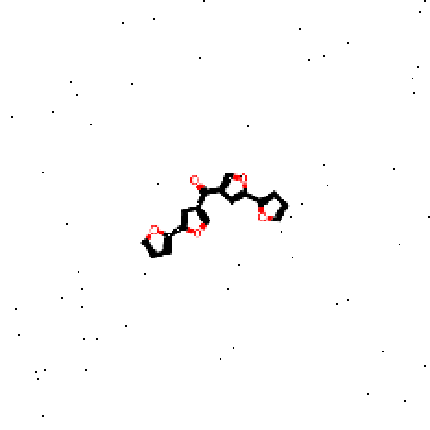 O=C(c1coc(-c2ccco2)c1)c1coc(-c2ccco2)c1